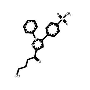 CS(=O)(=O)c1ccc(-c2cc(C(=O)CCCO)nn2-c2ccccc2)cc1